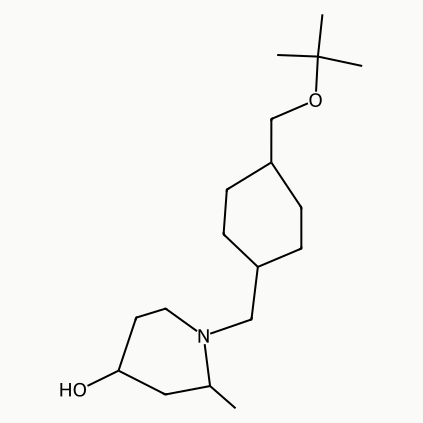 CC1CC(O)CCN1CC1CCC(COC(C)(C)C)CC1